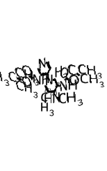 CN[C@H]1[C@@H](C)CN(c2ccncc2NC(=O)OC(C)(C)C)C[C@H]1NC(=O)OC(C)(C)C